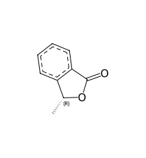 C[C@H]1OC(=O)c2ccccc21